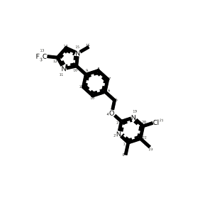 Cc1nc(OCc2ccc(-c3nc(C(F)(F)F)cn3C)cc2)nc(Cl)c1C